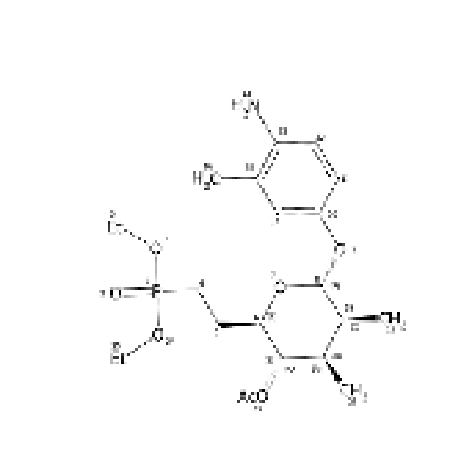 CCOP(=O)(CC[C@H]1O[C@H](Oc2ccc(N)c(C)c2)[C@@H](C)[C@@H](C)[C@@H]1OC(C)=O)OCC